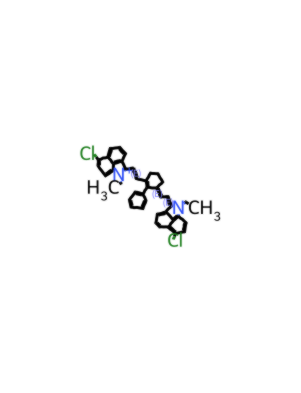 CCn1/c(=C/C=C2\CCCC(/C=C/C3=[N+](CC)c4ccc(Cl)c5cccc3c45)=C2c2ccccc2)c2cccc3c(Cl)ccc1c32